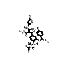 CCc1cc(Nc2[nH]nc(-c3ccc(NS(=O)(=O)C(F)F)c(OC(C)c4ccc(F)cc4)c3)c2C(N)=O)no1